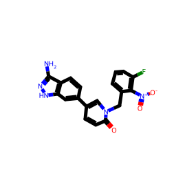 Nc1n[nH]c2cc(-c3ccc(=O)n(Cc4cccc(F)c4[N+](=O)[O-])c3)ccc12